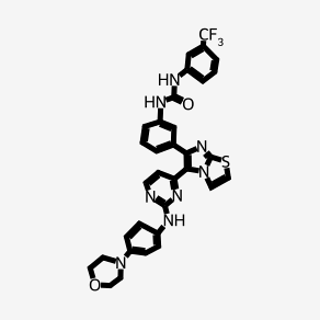 O=C(Nc1cccc(-c2nc3sccn3c2-c2ccnc(Nc3ccc(N4CCOCC4)cc3)n2)c1)Nc1cccc(C(F)(F)F)c1